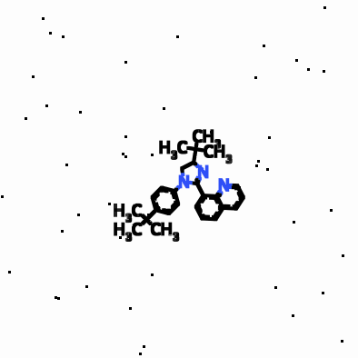 CC(C)(C)c1ccc(N2CC(C(C)(C)C)N=C2c2cccc3cccnc23)cc1